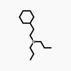 CCCN(CCC)CCC1CCCCC1